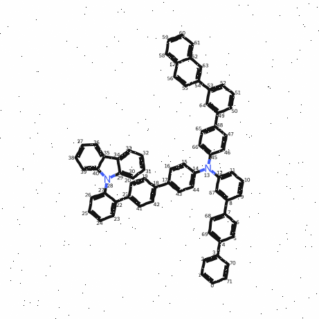 c1ccc(-c2ccc(-c3cccc(N(c4ccc(-c5ccc(-c6ccccc6-n6c7ccccc7c7ccccc76)cc5)cc4)c4ccc(-c5cccc(-c6ccc7ccccc7c6)c5)cc4)c3)cc2)cc1